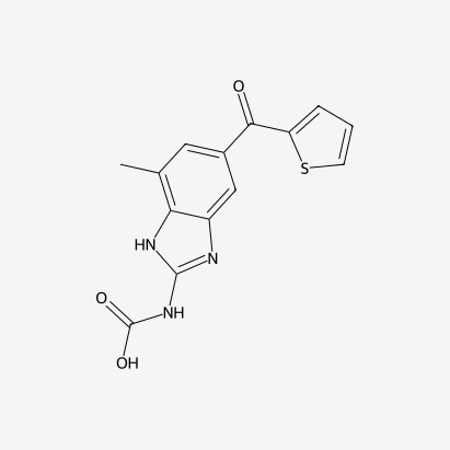 Cc1cc(C(=O)c2cccs2)cc2nc(NC(=O)O)[nH]c12